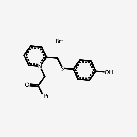 CC(C)C(=O)C[n+]1ccccc1CSc1ccc(O)cc1.[Br-]